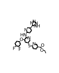 CCOC(=O)c1ccc(Sc2cnc(Nc3ccc(-c4nnn[nH]4)cn3)c(Oc3ccc(F)c(F)c3)c2)nc1